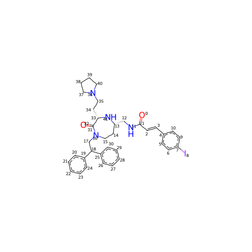 O=C(/C=C/c1ccc(I)cc1)NC[C@@H]1CCN(CC(c2ccccc2)c2ccccc2)C(=O)[C@H](CCN2CCCC2)N1